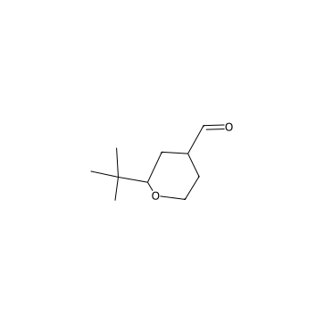 CC(C)(C)C1CC(C=O)CCO1